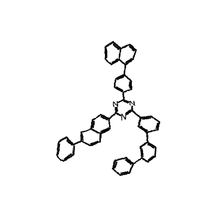 c1ccc(-c2cccc(-c3cccc(-c4nc(-c5ccc(-c6cccc7ccccc67)cc5)nc(-c5ccc6cc(-c7ccccc7)ccc6c5)n4)c3)c2)cc1